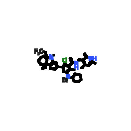 C=CC1(c2ccc(-c3cc(N(CC)C4CCCCC4)c(C)c(C(=C)NCC4=C(C)C=C(C)NC4=C)c3Cl)cc2N(C)CCC(F)(F)F)CCCCC1